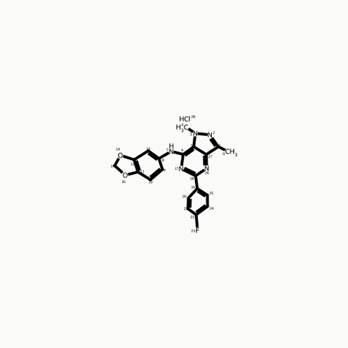 Cc1nn(C)c2c(Nc3ccc4c(c3)OCO4)nc(-c3ccc(F)cc3)nc12.Cl